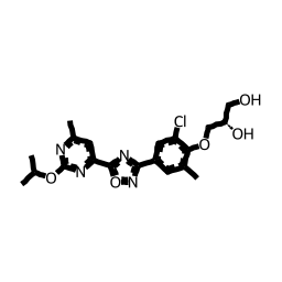 Cc1cc(-c2nc(-c3cc(C)c(OC[C@@H](O)CO)c(Cl)c3)no2)nc(OC(C)C)n1